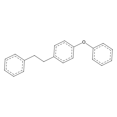 c1ccc(CCc2ccc(Oc3ccccc3)cc2)cc1